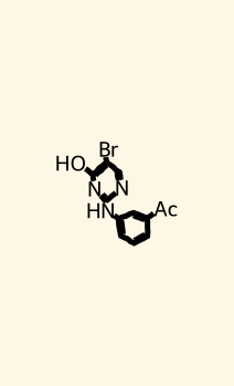 CC(=O)c1cccc(Nc2ncc(Br)c(O)n2)c1